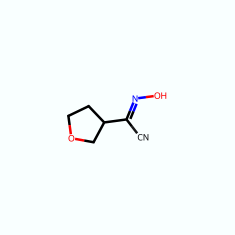 N#CC(=NO)C1CCOC1